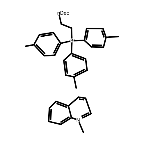 CCCCCCCCCCCC[B-](c1ccc(C)cc1)(c1ccc(C)cc1)c1ccc(C)cc1.C[n+]1cccc2ccccc21